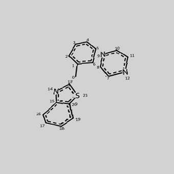 Cc1ccccc1.[c]1cnccn1.[c]1nc2ccccc2s1